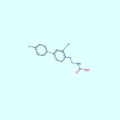 O=C(O)NCCc1ccc(-c2ccc(F)cc2)cc1F